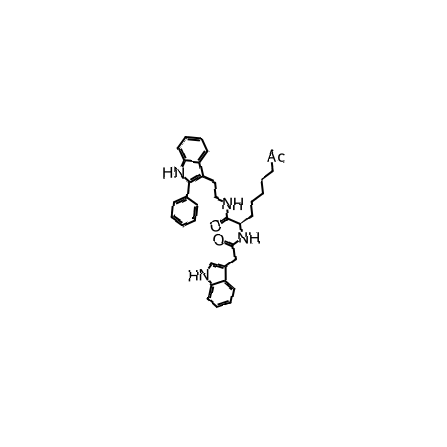 CC(=O)CCCCC[C@@H](NC(=O)Cc1c[nH]c2ccccc12)C(=O)NCCc1c(-c2ccccc2)[nH]c2ccccc12